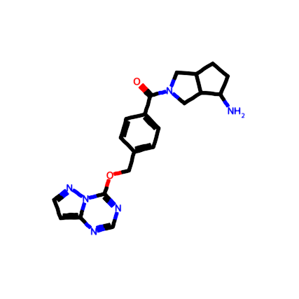 NC1CCC2CN(C(=O)c3ccc(COc4ncnc5ccnn45)cc3)CC12